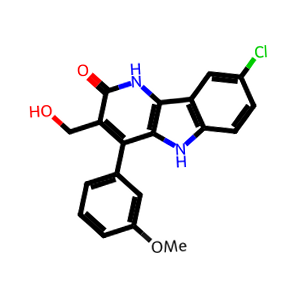 COc1cccc(-c2c(CO)c(=O)[nH]c3c2[nH]c2ccc(Cl)cc23)c1